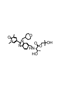 Cc1cc(-c2nc3ccc(CN[C@H](C(=O)OCC(C)(C)O)[C@@H](C)O)cc3n2CC2CCOCC2)cn(C)c1=O